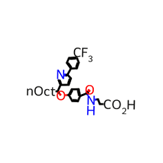 CCCCCCCCC(Oc1ccc(C(=O)NCCC(=O)O)cc1)c1ccc(-c2ccc(C(F)(F)F)cc2)nc1